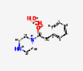 O.O.O=C([B]c1ccccc1)N1CCNCC1